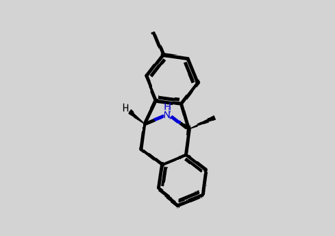 Cc1ccc2c(c1)[C@H]1Cc3ccccc3[C@]2(C)N1